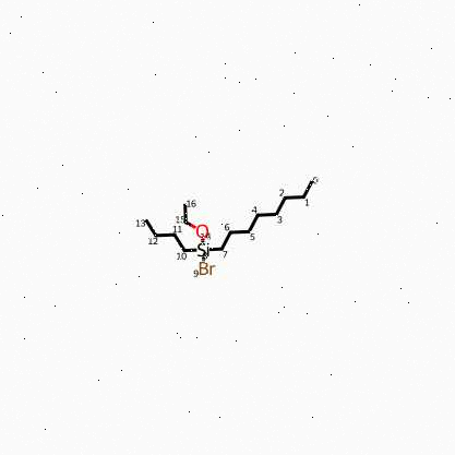 CCCCCCCC[Si](Br)(CCCC)OCC